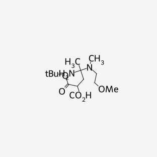 COCCN(C)C(C)(N)CC(C(=O)O)C(=O)OC(C)(C)C